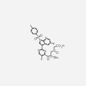 Cc1ccc(S(=O)(=O)n2cc(-c3ncc(F)c(N[C@@H](C[S+]([O-])CC(=O)O)C(C)(C)C)n3)c3cc(F)cnc32)cc1